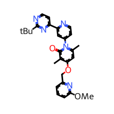 COc1cccc(COc2cc(C)n(-c3ccnc(-c4ccnc(C(C)(C)C)n4)c3)c(=O)c2C)n1